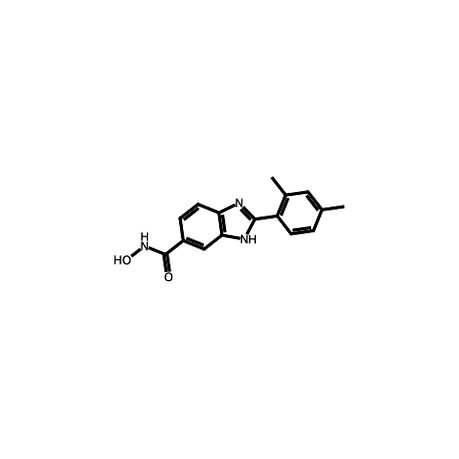 Cc1ccc(-c2nc3ccc(C(=O)NO)cc3[nH]2)c(C)c1